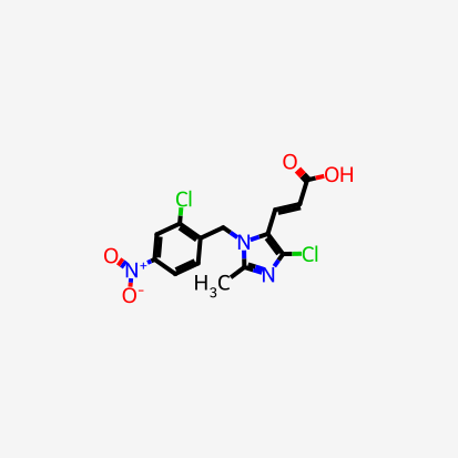 Cc1nc(Cl)c(C=CC(=O)O)n1Cc1ccc([N+](=O)[O-])cc1Cl